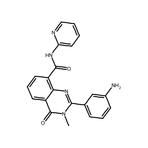 Cn1c(-c2cccc(N)c2)nc2c(C(=O)Nc3ccccn3)cccc2c1=O